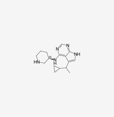 CC(c1c[nH]c2ncnc(N[C@@H]3CCCNC3)c12)C1CC1